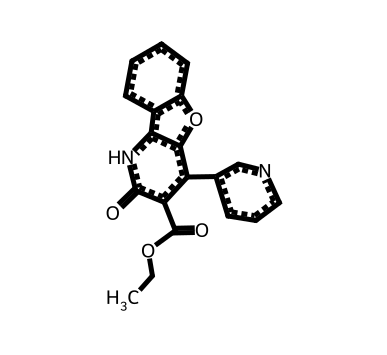 CCOC(=O)c1c(-c2cccnc2)c2oc3ccccc3c2[nH]c1=O